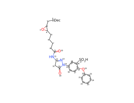 CCCCCCCCCCCC1OC1CCCCC(=O)NC1=NN(c2ccc(Oc3ccccc3)c(S(=O)(=O)O)c2)C(=O)C1